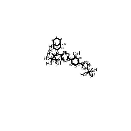 C[C@@]12CCC[C@@H](C1)[C@@H](F)[C@@H](N(c1cnc(-c3ccc(-c4nnn(C(S)(S)S)n4)cc3O)nn1)C1(S)C(S)(S)C1(S)S)C2